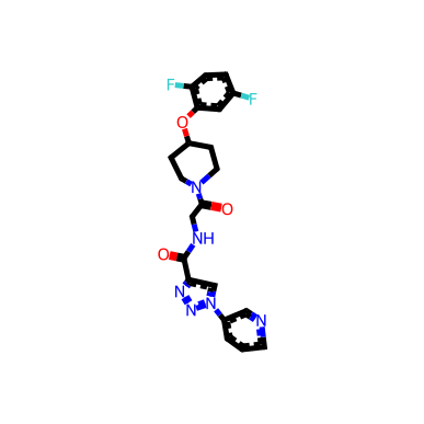 O=C(NCC(=O)N1CCC(Oc2cc(F)ccc2F)CC1)c1cn(-c2cccnc2)nn1